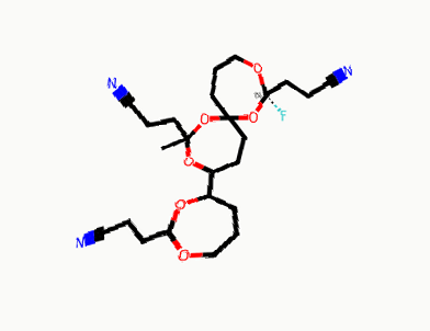 CC1(CCC#N)OC(C2CCCOC(CCC#N)O2)CCC2(CCCO[C@@](F)(CCC#N)O2)O1